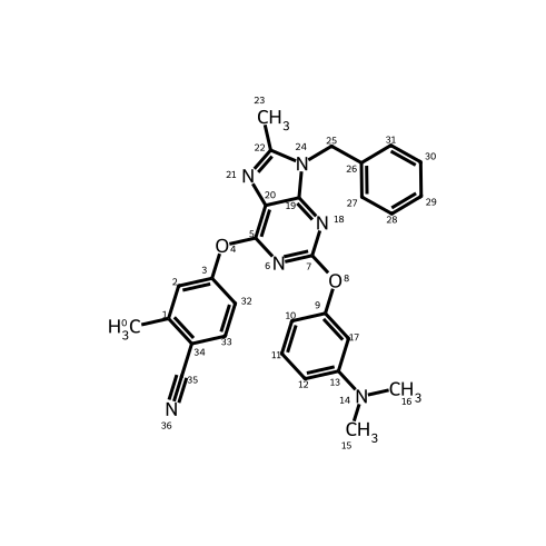 Cc1cc(Oc2nc(Oc3cccc(N(C)C)c3)nc3c2nc(C)n3Cc2ccccc2)ccc1C#N